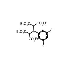 CCOC(=O)C(C(=O)OCC)C(c1cc(F)cc(Cl)c1)C(C(=O)OCC)C(=O)OCC